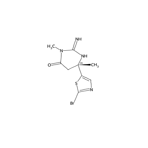 CN1C(=N)N[C@](C)(c2cnc(Br)s2)CC1=O